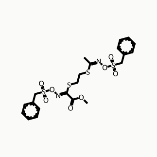 COC(=O)/C(=N/OS(=O)(=O)Cc1ccccc1)SCCS/C(C)=N\OS(=O)(=O)Cc1ccccc1